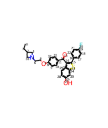 CCC1CN(CCOc2ccc(C(=O)c3c(-c4ccc(F)cc4)sc4cc(O)ccc34)cc2)C1